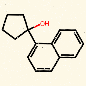 OC1(c2cccc3ccccc23)CCCC1